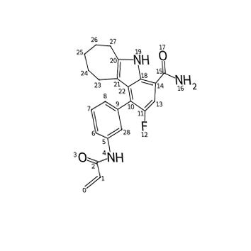 C=CC(=O)Nc1cccc(-c2c(F)cc(C(N)=O)c3[nH]c4c(c23)CCCCC4)c1